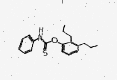 CCCc1cccc(OC(=S)Nc2ccccc2)c1CCC